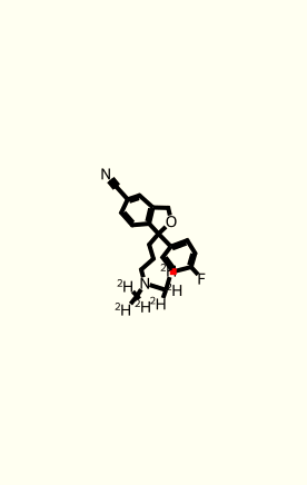 [2H]C([2H])([2H])N(CCCC1(c2ccc(F)cc2)OCc2cc(C#N)ccc21)C([2H])([2H])[2H]